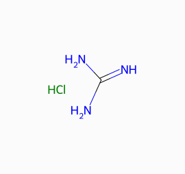 Cl.N=C(N)N